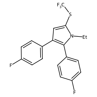 CCn1c(SC(F)(F)F)cc(-c2ccc(F)cc2)c1-c1ccc(F)cc1